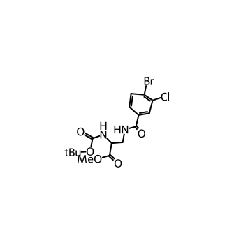 COC(=O)C(CNC(=O)c1ccc(Br)c(Cl)c1)NC(=O)OC(C)(C)C